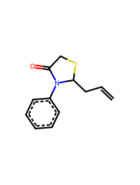 C=CCC1SCC(=O)N1c1ccccc1